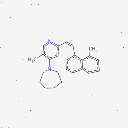 Cc1cnc(/C=C\c2cccc3cccc(C)c23)cc1N1CCCCCC1